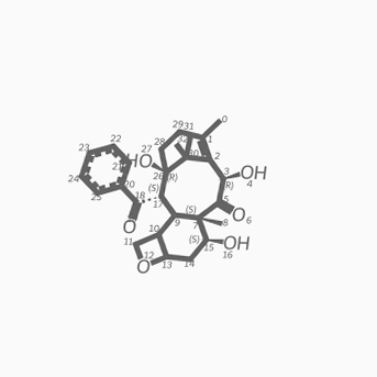 CC1=C2[C@@H](O)C(=O)[C@@]3(C)C(C4COC4C[C@@H]3O)[C@H](C(=O)c3ccccc3)[C@](O)(CC1)C2(C)C